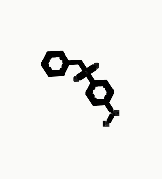 CCNc1ccc(S(=O)(=O)Cc2ccccc2)cc1